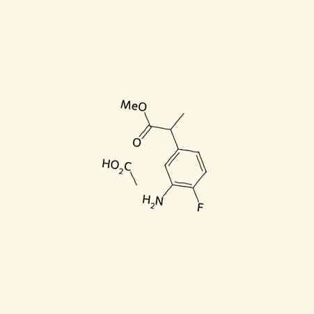 CC(=O)O.COC(=O)C(C)c1ccc(F)c(N)c1